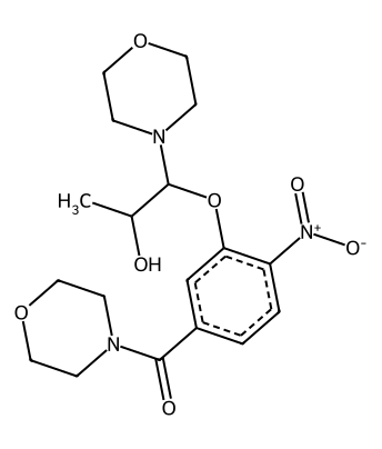 CC(O)C(Oc1cc(C(=O)N2CCOCC2)ccc1[N+](=O)[O-])N1CCOCC1